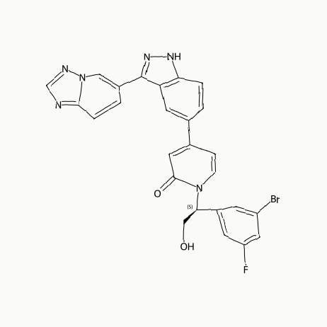 O=c1cc(-c2ccc3[nH]nc(-c4ccc5ncnn5c4)c3c2)ccn1[C@H](CO)c1cc(F)cc(Br)c1